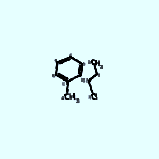 CCCCl.Cc1ccccc1